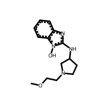 COCCN1CCC(Nc2nc3ccccc3n2O)C1